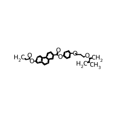 C=CC(=O)Oc1ccc2c(ccc3cc(C(=O)Oc4ccc(OCCCOC(=C)C(=C)C)cc4)ccc32)c1